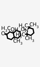 C[C@H]1C(=O)CC[C@@]2(C)CC[C@@H](ON3C(C)(C)CCCC3(C)C)C[C@@]12O